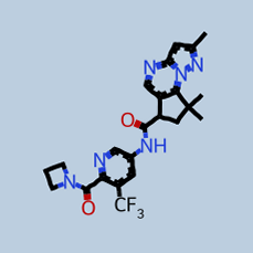 Cc1cc2ncc3c(n2n1)C(C)(C)CC3C(=O)Nc1cnc(C(=O)N2CCC2)c(C(F)(F)F)c1